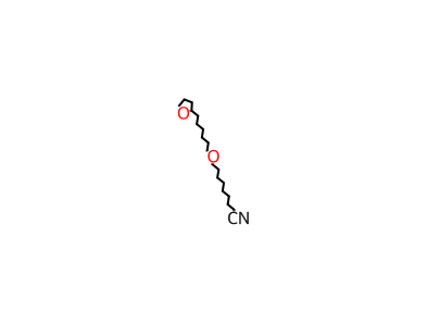 N#CCCCCCCCCOCCCCCCC1CCCO1